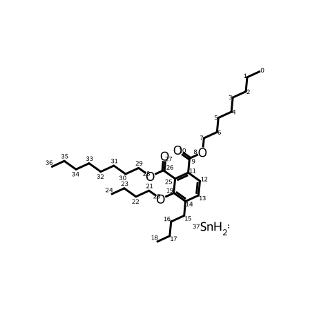 CCCCCCCCOC(=O)c1ccc(CCCC)c(OCCCC)c1C(=O)OCCCCCCCC.[SnH2]